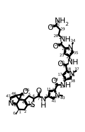 C[C@@H]1CC2=C(CC(C(=O)Nc3cc(C(=O)Nc4cc(C(=O)Nc5cc(C(=O)NCCC(N)=O)n(C)c5)n(C)c4)n(C)c3)S2)C23C(=O)C2=CN=C13